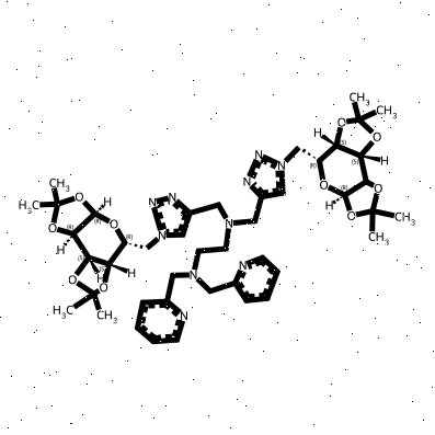 CC1(C)OC2[C@H](O[C@H](Cn3cc(CN(CCN(Cc4ccccn4)Cc4ccccn4)Cc4cn(C[C@H]5O[C@@H]6OC(C)(C)O[C@@H]6[C@H]6OC(C)(C)O[C@H]65)nn4)nn3)[C@@H]3OC(C)(C)O[C@H]23)O1